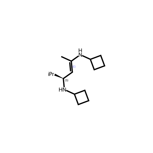 C/C(=C\[C@@H](NC1CCC1)C(C)C)NC1CCC1